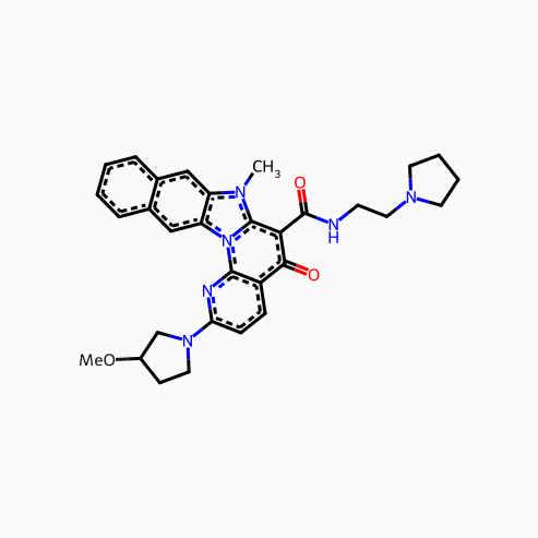 COC1CCN(c2ccc3c(=O)c(C(=O)NCCN4CCCC4)c4n(C)c5cc6ccccc6cc5n4c3n2)C1